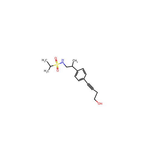 CC(CNS(=O)(=O)C(C)C)c1ccc(C#CCCO)cc1